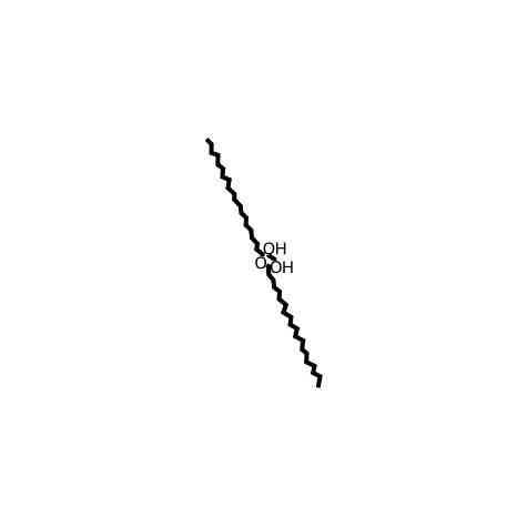 CCCCCCCCCCCCCCCCCCCCOCCCCCCCCCCCCCCCCCCCC.OCCO